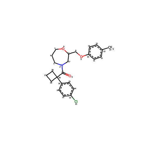 O=C(N1CCCOC(COc2ccc(C(F)(F)F)cc2)C1)C1(c2ccc(Cl)cc2)CCC1